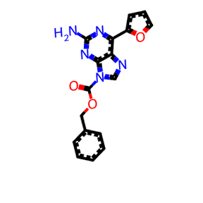 Nc1nc(-c2ccco2)c2ncn(C(=O)OCc3ccccc3)c2n1